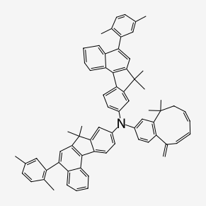 C=C1/C=C\C=C/CC(C)(C)c2cc(N(c3ccc4c(c3)C(C)(C)c3cc(-c5cc(C)ccc5C)c5ccccc5c3-4)c3ccc4c(c3)C(C)(C)c3cc(-c5cc(C)ccc5C)c5ccccc5c3-4)ccc21